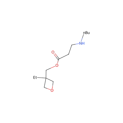 CCCCNCCC(=O)OCC1(CC)COC1